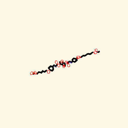 C=CC(=O)OCCCCCCOC1CCC(/C=C/C(=O)OC2COC3C(OC(=O)/C=C/C4CCC(OCCCCCCOC=O)CC4)COC23)CC1